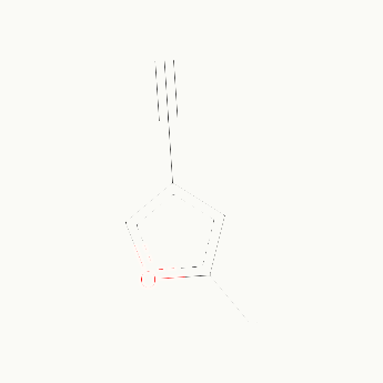 C#Cc1coc([CH2])c1